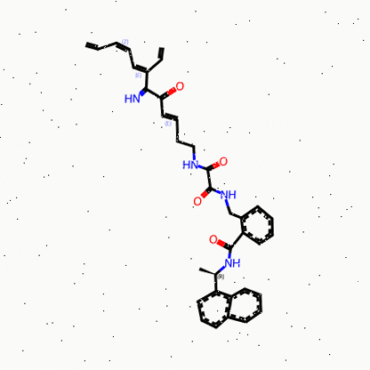 C=C/C=C\C=C(/C=C)C(=N)C(=O)/C=C/CCNC(=O)C(=O)NCc1ccccc1C(=O)N[C@H](C)c1cccc2ccccc12